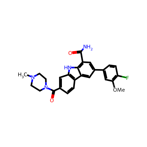 COc1cc(-c2cc(C(N)=O)c3[nH]c4cc(C(=O)N5CCN(C)CC5)ccc4c3c2)ccc1F